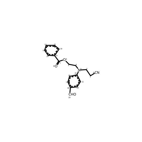 N#CCCN(CCOC(=O)c1ccccc1)c1ccc(C=O)cc1